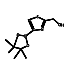 CC1(C)OB(c2csc(CO)n2)OC1(C)C